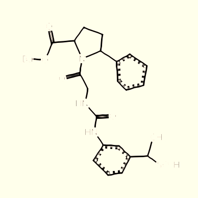 CC(c1cccc(NC(=O)NCC(=O)N2C(C(=O)OC(C)(C)C)CCC2c2ccccc2)c1)S(=O)(=O)O